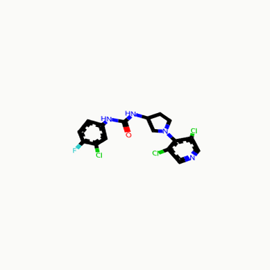 O=C(Nc1ccc(F)c(Cl)c1)NC1CCN(c2c(Cl)cncc2Cl)C1